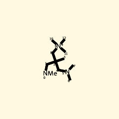 CNCC(C)(CN(C)C)C[N+](C)(C)C